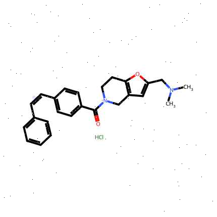 CN(C)Cc1cc2c(o1)CCN(C(=O)c1ccc(/C=C\c3ccccc3)cc1)C2.Cl